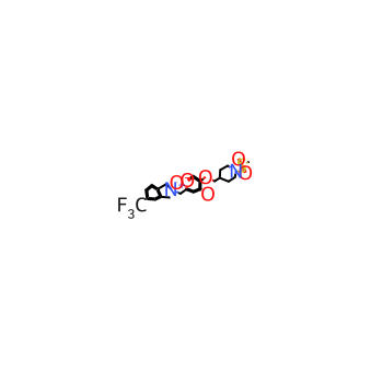 CS(=O)(=O)N1CCC(COc2coc(C[N+]3([O-])Cc4ccc(C(F)(F)F)cc4C3)cc2=O)CC1